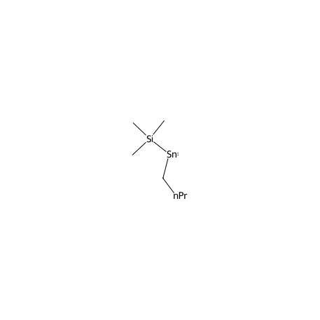 CCC[CH2][Sn][Si](C)(C)C